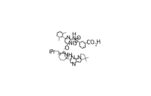 Cc1cccc(C)c1-c1cc(OC[C@@H]2N[C@H](c3cnc4cc5n(c4n3)CCC5(C)C)CCC[C@H]2CC(C)C)nc(NS(=O)(=O)c2cccc(C(=O)O)c2)n1